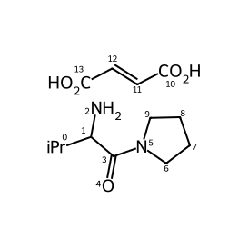 CC(C)C(N)C(=O)N1CCCC1.O=C(O)C=CC(=O)O